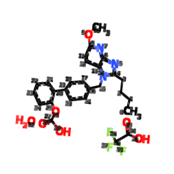 CCCCc1nc2nc(OC)ccc2n1Cc1ccc(-c2ccccc2OC(=O)O)cc1.O.O=C(O)C(F)(F)F